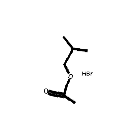 Br.CC(=O)OCC(C)C